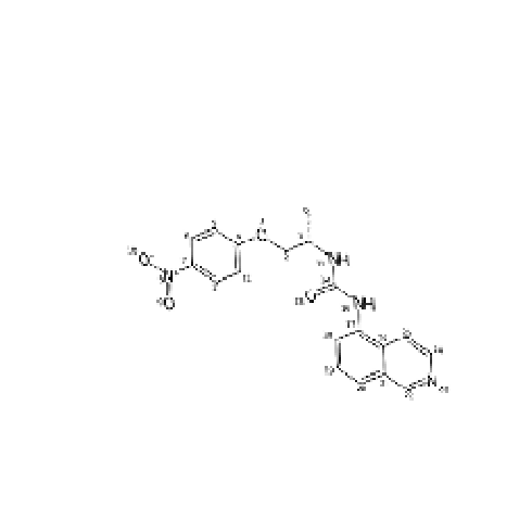 C[C@@H](COc1ccc([N+](=O)[O-])cc1)NC(=O)Nc1cccc2cnccc12